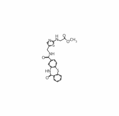 COC(=O)CNc1ncc(CNC(=O)c2ccc3c(c2)NC(=O)c2ccccc2S3)s1